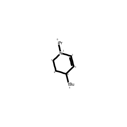 CC(C)N1C=CC(C(C)(C)C)CC1